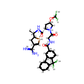 C[C@@H](NC(=O)[C@@H]1C[C@@H](OC(F)F)CN1C(=O)CNC(=O)c1ccc2c(c1)-c1ccccc1C2(F)F)C1CC(C(=N)N)=CS1